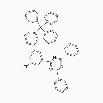 Clc1cc(-c2ccc3c(c2)C(c2ccccc2)(c2ccccc2)c2ccccc2-3)cc(-c2nc(-c3ccccc3)nc(-c3ccccc3)n2)c1